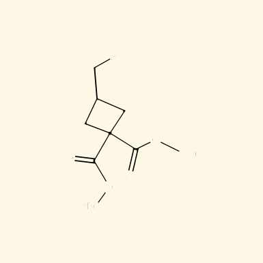 CC(C)(C)OC(=O)C1(C(=O)OC(C)(C)C)CC(CBr)C1